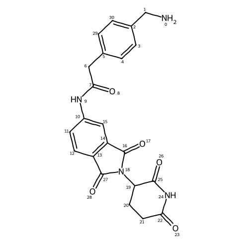 NCc1ccc(CC(=O)Nc2ccc3c(c2)C(=O)N(C2CCC(=O)NC2=O)C3=O)cc1